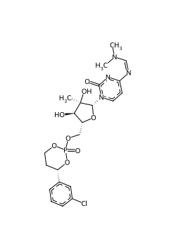 CN(C)/C=N\c1ccn([C@@H]2O[C@H](COP3(=O)OCC[C@@H](c4cccc(Cl)c4)O3)[C@@H](O)[C@@]2(C)O)c(=O)n1